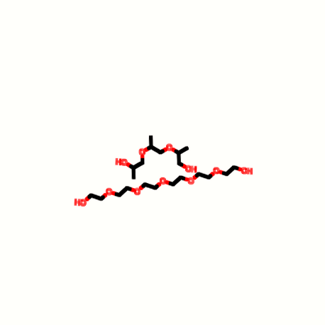 CC(O)COC(C)COC(C)CO.OCCOCCOCCOCCOCCOCCO